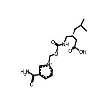 CC(C)C[C@H](CNC(=O)OC[n+]1cccc(C(N)=O)c1)CC(=O)O